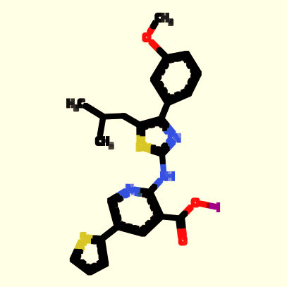 COc1cccc(-c2nc(Nc3ncc(-c4cccs4)cc3C(=O)OI)sc2CC(C)C)c1